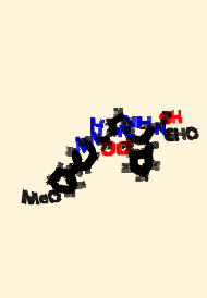 COc1ccc(-c2ccc(NC(=O)[C@@H]3CCNN3C(=O)[C@H](CC3CCCC3)CN(O)C=O)nc2)cc1